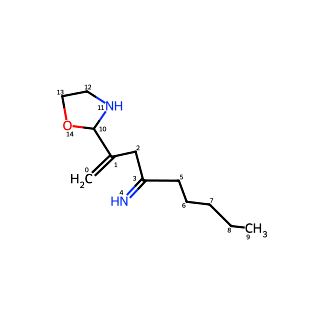 C=C(CC(=N)CCCCC)C1NCCO1